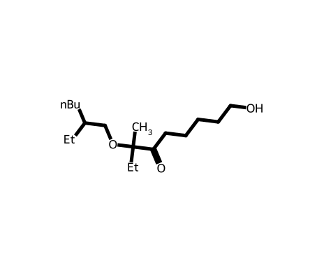 CCCCC(CC)COC(C)(CC)C(=O)CCCCCO